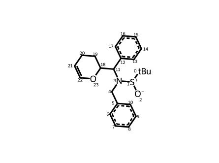 CC(C)(C)[S+]([O-])N(Cc1ccccc1)C(c1ccccc1)C1CCC=CO1